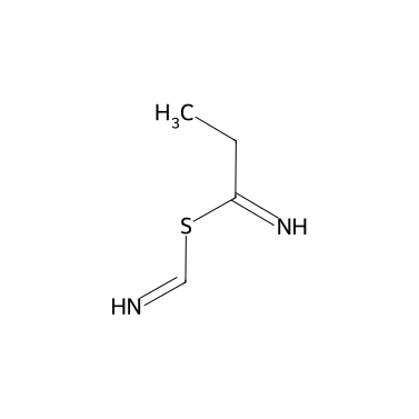 CCC(=N)SC=N